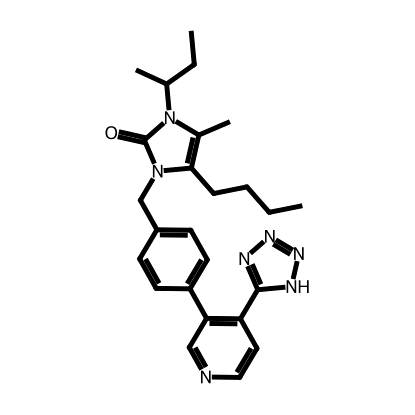 CCCCc1c(C)n(C(C)CC)c(=O)n1Cc1ccc(-c2cnccc2-c2nnn[nH]2)cc1